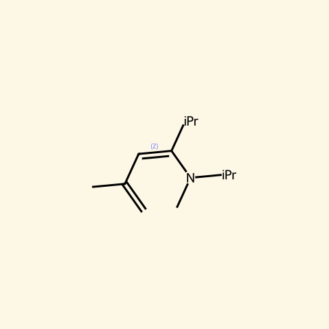 C=C(C)/C=C(/C(C)C)N(C)C(C)C